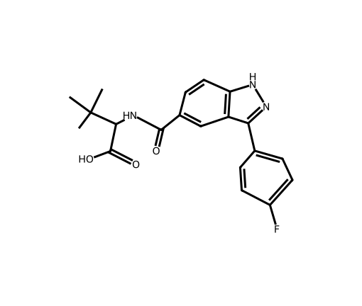 CC(C)(C)C(NC(=O)c1ccc2[nH]nc(-c3ccc(F)cc3)c2c1)C(=O)O